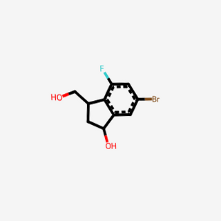 OCC1CC(O)c2cc(Br)cc(F)c21